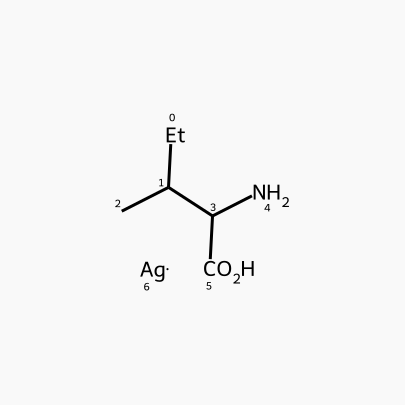 CCC(C)C(N)C(=O)O.[Ag]